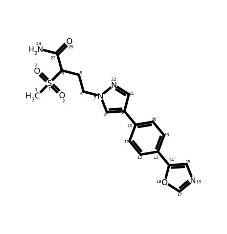 CS(=O)(=O)C(CCn1cc(-c2ccc(-c3cnco3)cc2)cn1)C(N)=O